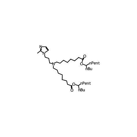 CCCCCC(CCCC)OC(=O)CCCCCCCN(CCCCCCCC(=O)OC(CCCC)CCCCC)CCCn1ccnc1C